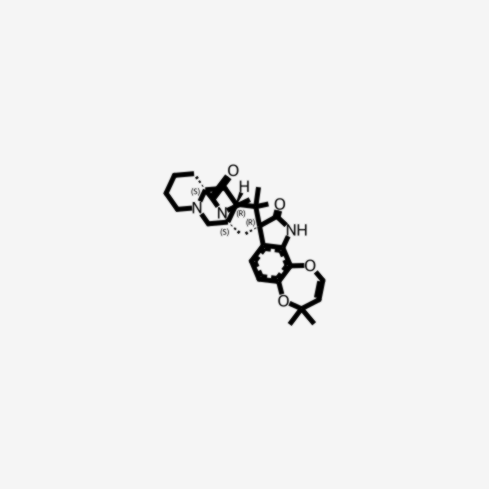 CN1C(=O)[C@@]23CCCCN2C[C@@]12C[C@@]1(C(=O)Nc4c1ccc1c4OC=CC(C)(C)O1)C(C)(C)[C@H]2C3